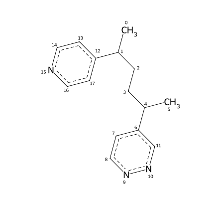 CC(CCC(C)c1ccnnc1)c1ccncc1